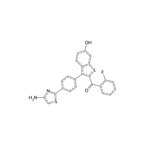 Nc1csc(-c2ccc(-c3c(C(=O)c4ccccc4F)sc4cc(O)ccc34)cc2)n1